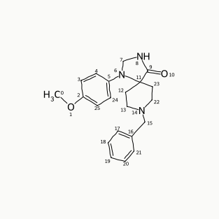 COc1ccc(N2CNC(=O)C23CCN(Cc2ccccc2)CC3)cc1